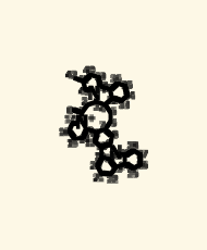 C=C1CC2C(CCc3cc4c(cc3-c3cccc[n+]31)c1cccc3c5ccccc5n4c31)c1ccccc1-c1ccc(C)c[n+]12